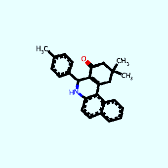 Cc1ccc(C2Nc3ccc4ccccc4c3C3=C2C(=O)CC(C)(C)C3)cc1